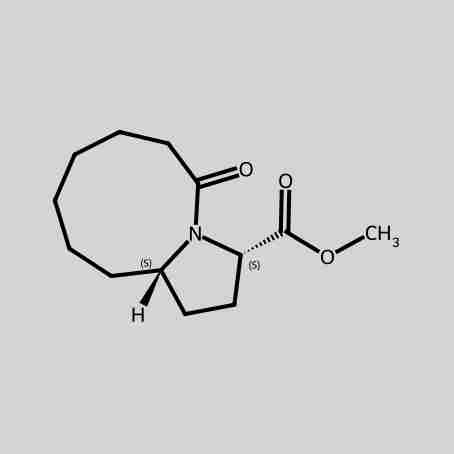 COC(=O)[C@@H]1CC[C@@H]2CCCCCCC(=O)N21